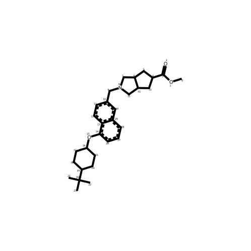 COC(=O)C1CC2CN(Cc3ccc4c(OC5CCC(C(C)(C)C)CC5)cccc4c3)CC2C1